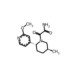 COc1cc([C@H]2CC[C@H](C)CN2C(=O)C(N)=O)ccn1